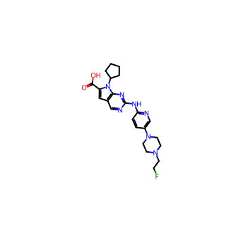 O=C(O)c1cc2cnc(Nc3ccc(N4CCN(CCF)CC4)cn3)nc2n1C1CCCC1